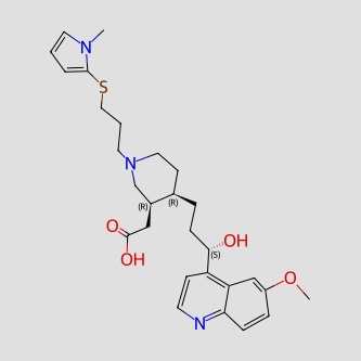 COc1ccc2nccc([C@@H](O)CC[C@@H]3CCN(CCCSc4cccn4C)C[C@@H]3CC(=O)O)c2c1